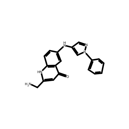 NCc1cc(=O)c2cc(Nc3cnn(-c4ccccc4)c3)ccc2[nH]1